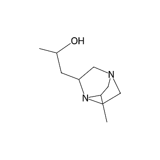 CC(O)CC1CN2CCN1C(C)C2